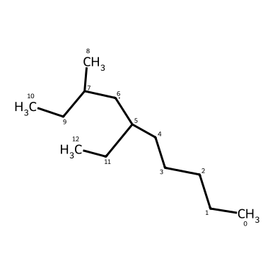 CCCCCC([CH]C(C)CC)CC